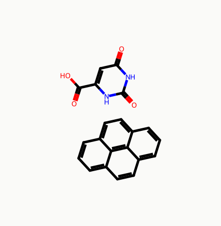 O=C(O)c1cc(=O)[nH]c(=O)[nH]1.c1cc2ccc3cccc4ccc(c1)c2c34